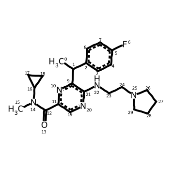 CC(c1ccc(F)cc1)c1nc(C(=O)N(C)C2CC2)cnc1NCCN1CCCC1